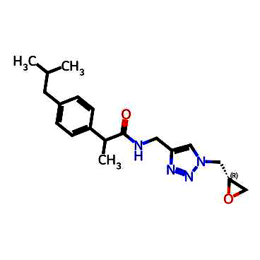 CC(C)Cc1ccc(C(C)C(=O)NCc2cn(C[C@@H]3CO3)nn2)cc1